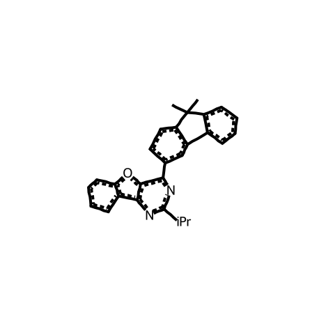 CC(C)c1nc(-c2ccc3c(c2)-c2ccccc2C3(C)C)c2oc3ccccc3c2n1